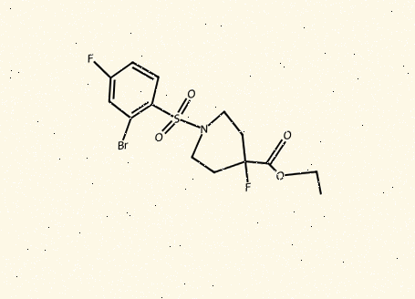 CCOC(=O)C1(F)CCN(S(=O)(=O)c2ccc(F)cc2Br)CC1